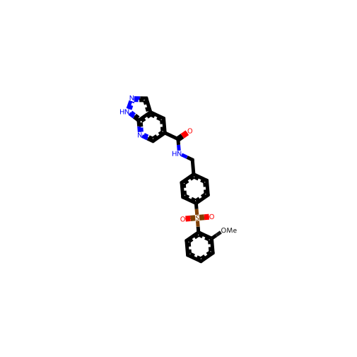 COc1ccccc1S(=O)(=O)c1ccc(CNC(=O)c2cnc3[nH]ncc3c2)cc1